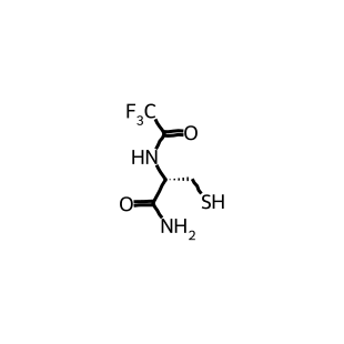 NC(=O)[C@@H](CS)NC(=O)C(F)(F)F